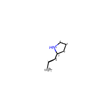 CCCCCC1CCCN1